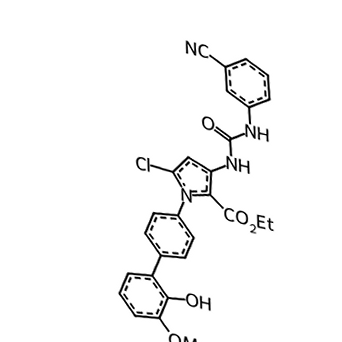 CCOC(=O)c1c(NC(=O)Nc2cccc(C#N)c2)cc(Cl)n1-c1ccc(-c2cccc(OC)c2O)cc1